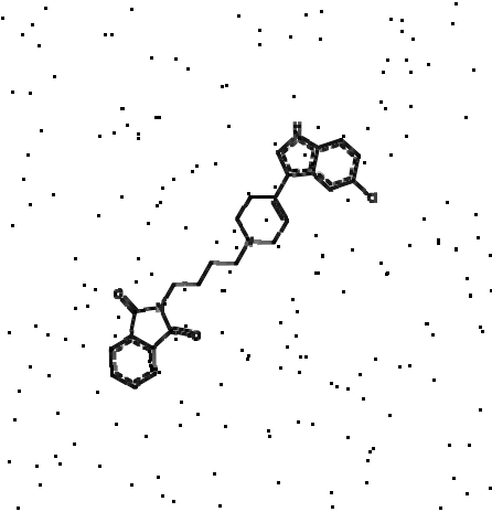 O=C1c2ccccc2C(=O)N1CCCCN1CC=C(c2c[nH]c3ccc(Cl)cc23)CC1